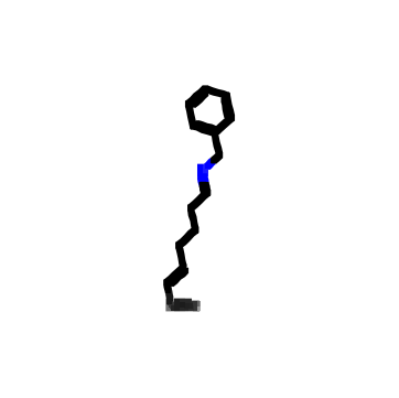 CC(=O)NC=CCCCC=NCc1ccccc1